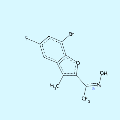 Cc1c(/C(=N\O)C(F)(F)F)oc2c(Br)cc(F)cc12